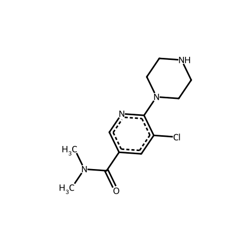 CN(C)C(=O)c1cnc(N2CCNCC2)c(Cl)c1